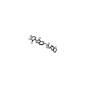 O=C1CCC(N2Cc3ccc(COC(=O)Nc4ccc5c(c4)CCCO5)cc3C2=O)C(=O)N1